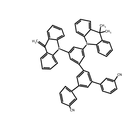 C=C1c2ccccc2N(c2cc(-c3cc(-c4cccc(C#N)c4)cc(-c4cccc(C#N)c4)c3)cc(N3c4ccccc4C(C)(C)c4ccccc43)c2)c2ccccc21